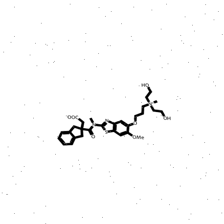 COc1cc2sc(N(C)C(=O)C3(CC(=O)[O-])Cc4ccccc4C3)nc2cc1OCCC[N+](C)(CCO)CCO